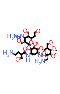 COC1C(O[C@H]2O[C@H](CN)[C@@H](OC)C(OC)C2C=O)[C@@H](N)C[C@@H](NC(=O)C(C=O)CCN)[C@@H]1O[C@H]1OC(CC=O)[C@@H](C=O)C(N=NN)[C@@H]1C=O